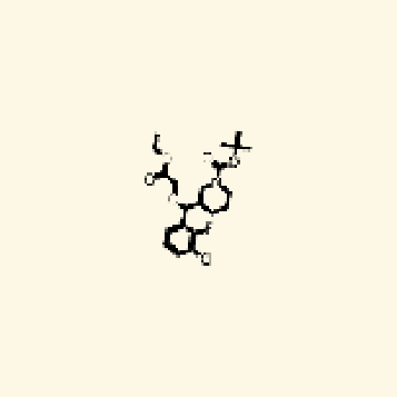 CCOC(=O)COC(c1cccc(Cl)c1F)C1CCCN(C(=O)OC(C)(C)C)C1